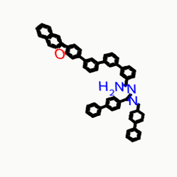 N/C(=N\C1C(c2ccc(-c3ccccc3)cc2)N1CC1C=CC(c2ccccc2)=CC1)c1cccc(-c2cccc(-c3cccc(-c4ccc5c(c4)oc4cc6ccccc6cc45)c3)c2)c1